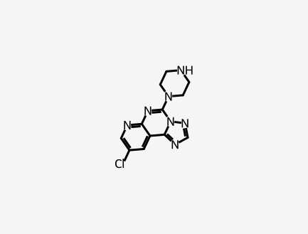 Clc1cnc2nc(N3CCNCC3)n3ncnc3c2c1